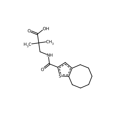 CC(C)(CNC(=O)c1cc2c(s1)CCCCCC2)C(=O)O